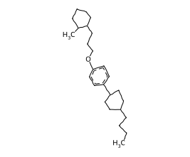 CCCCC1CCC(c2ccc(OCCCC3CCCCC3C)cc2)CC1